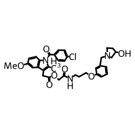 COc1ccc2c(c1)c(CC(=O)OCC(=O)NCCCOc1cccc(CN3CCC(O)C3)c1)c(C)n2C(=O)c1ccc(Cl)cc1